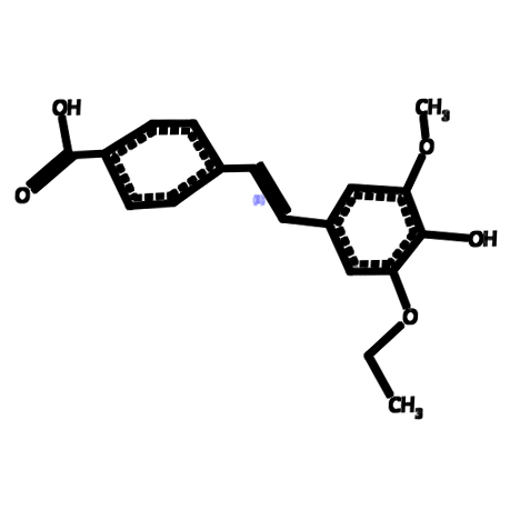 CCOc1cc(/C=C/c2ccc(C(=O)O)cc2)cc(OC)c1O